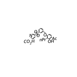 CCCc1c(OCc2cccc(S(=O)(=O)c3cncc(C(=O)O)c3)c2)ccc(C(C)=O)c1O